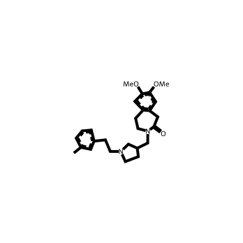 COc1cc2c(cc1OC)CC(=O)N(CC1CCN(CCc3cccc(C)c3)C1)CC2